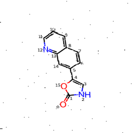 O=c1[nH]cc(-c2ccc3cccnc3c2)o1